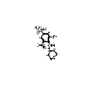 NS(=O)(=O)c1cc(F)c(NCC2CCOCC2)c([N+](=O)[O-])c1